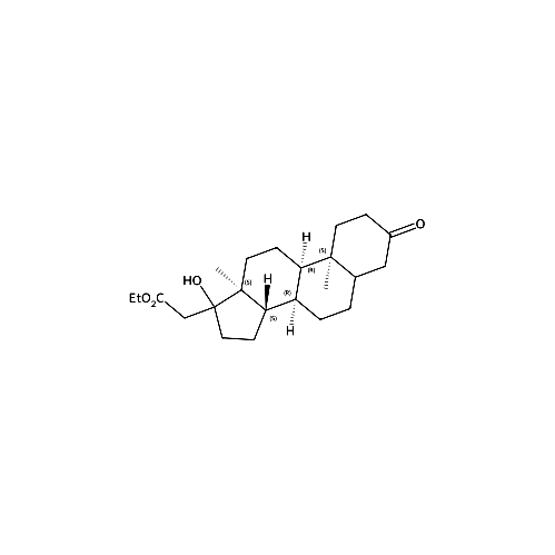 CCOC(=O)CC1(O)CC[C@H]2[C@@H]3CCC4CC(=O)CC[C@]4(C)[C@@H]3CC[C@@]21C